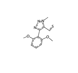 COc1cccc(OC)c1-c1nnn(C)c1C=S